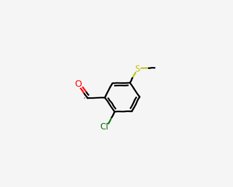 CSc1ccc(Cl)c([C]=O)c1